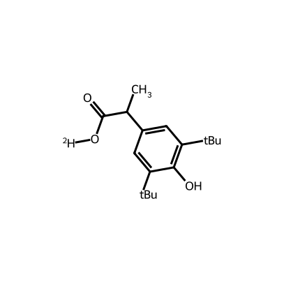 [2H]OC(=O)C(C)c1cc(C(C)(C)C)c(O)c(C(C)(C)C)c1